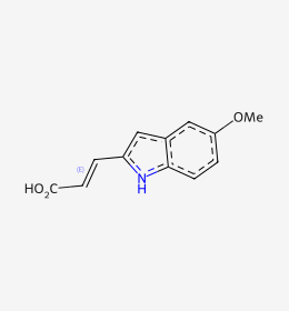 COc1ccc2[nH]c(/C=C/C(=O)O)cc2c1